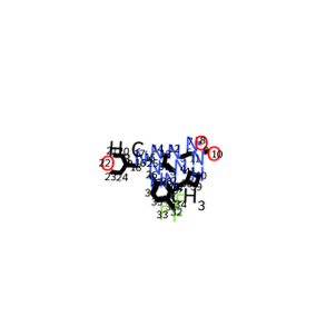 C[C@@H](Nc1nc(-c2noc(=O)[nH]2)nc2nc(N(C)CC3CCOCC3)n(Cc3ccc(C(F)(F)F)cc3)c12)C1CCC1